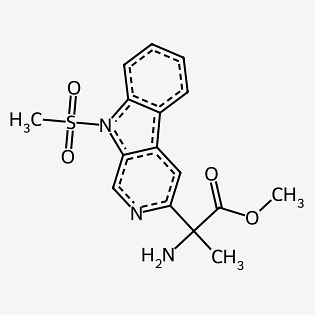 COC(=O)C(C)(N)c1cc2c3ccccc3n(S(C)(=O)=O)c2cn1